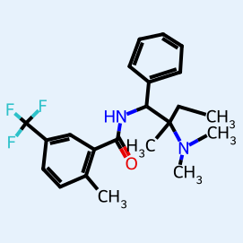 CCC(C)(C(NC(=O)c1cc(C(F)(F)F)ccc1C)c1ccccc1)N(C)C